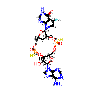 Nc1ncnc2c1ncn2[C@@H]1O[C@@H]2COP(=O)(S)O[C@@H]3C[C@@H](COP(=O)(S)O[C@H]2[C@H]1O)O[C@H]3n1cc(F)c2c(=O)[nH]cnc21